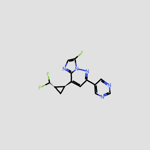 Fc1cnc2c([C@H]3C[C@@H]3C(F)F)cc(-c3cncnc3)nn12